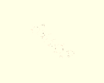 Cc1ncn(-c2ccc(NC(=O)c3cnn(-c4cncc5ccccc45)c3C(F)(F)F)cc2Cl)n1